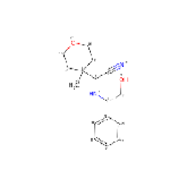 CC1(C(C#N)N[C@H](CO)c2ccccc2)CCOCC1